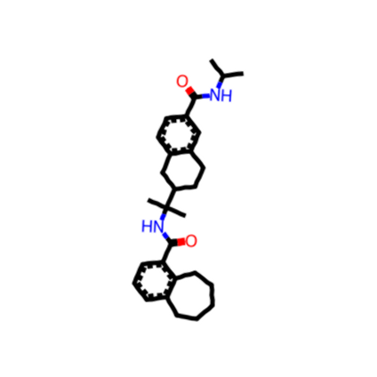 CC(C)NC(=O)c1ccc2c(c1)CCC(C(C)(C)NC(=O)c1cccc3c1CCCCC3)C2